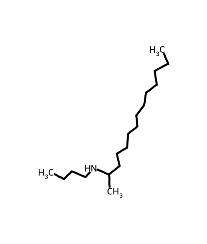 CCCCCCCCCCCCC(C)NCCCC